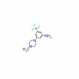 CN1CCN(c2cc(N)cc(C(F)(F)F)c2)CC1